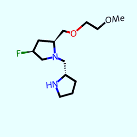 COCCOC[C@@H]1C[C@H](F)CN1C[C@@H]1CCCN1